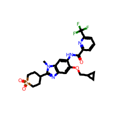 Cn1c(C2CCS(=O)(=O)CC2)nc2cc(OCC3CC3)c(NC(=O)c3cccc(C(F)(F)F)n3)cc21